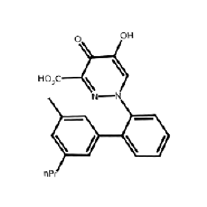 CCCc1cc(C)cc(-c2ccccc2-n2cc(O)c(=O)c(C(=O)O)n2)c1